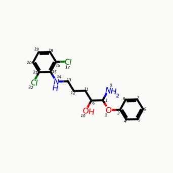 NC(Oc1ccccc1)C(O)CCCNc1c(Cl)cccc1Cl